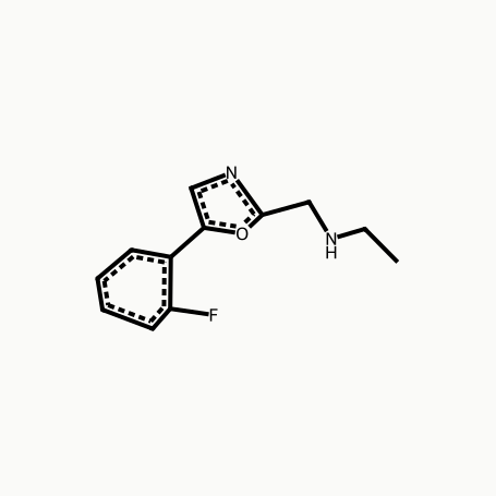 CCNCc1ncc(-c2ccccc2F)o1